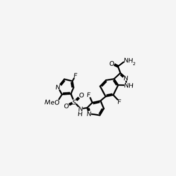 COc1ncc(F)cc1S(=O)(=O)Nc1nccc(-c2ccc3c(C(N)=O)n[nH]c3c2F)c1F